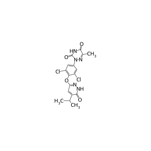 Cc1nn(-c2cc(Cl)c(Oc3cc(C(C)C)c(=O)[nH]n3)c(Cl)c2)c(=O)[nH]c1=O